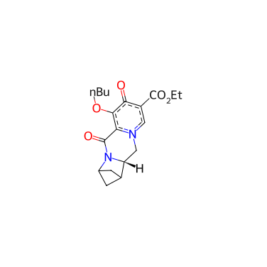 CCCCOc1c2n(cc(C(=O)OCC)c1=O)C[C@@H]1C3CC(C3)N1C2=O